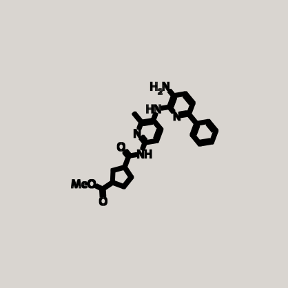 COC(=O)C1CCC(C(=O)Nc2ccc(Nc3nc(-c4ccccc4)ccc3N)c(C)n2)C1